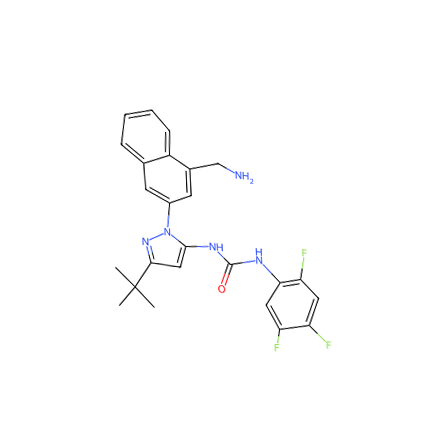 CC(C)(C)c1cc(NC(=O)Nc2cc(F)c(F)cc2F)n(-c2cc(CN)c3ccccc3c2)n1